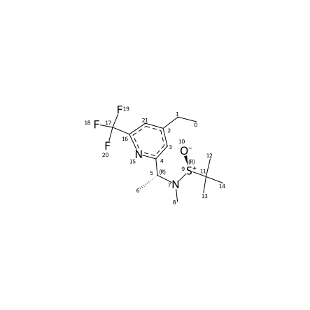 CCc1cc([C@@H](C)N(C)[S@@+]([O-])C(C)(C)C)nc(C(F)(F)F)c1